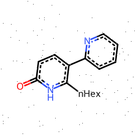 CCCCCCc1[nH]c(=O)ccc1-c1ccccn1